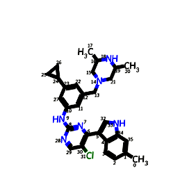 Cc1ccc2c(-c3nc(Nc4cc(CN5CC(C)NC(C)C5)cc(C5CC5)c4)ncc3Cl)c[nH]c2c1